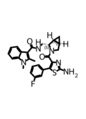 Cc1c(C(=O)NC[C@@H]2[C@H]3C[C@H]3CN2C(=O)c2nc(N)sc2-c2cccc(F)c2)c2ccccc2n1C